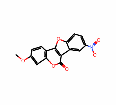 COc1ccc2c(c1)oc(=O)c1c3cc([N+](=O)[O-])ccc3oc21